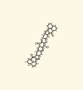 O=c1c2cccc3cccc(c32)c2nc3cc4nc5c(Cl)c6oc7cc8c(cc7nc6c(Cl)c5oc4cc3n12)nc1c2cccc3cccc(c(=O)n81)c32